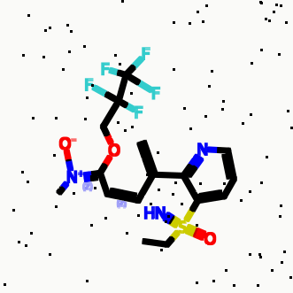 C=C(/C=C\C(OCC(F)(F)C(F)(F)F)=[N+](/C)[O-])c1ncccc1S(=N)(=O)CC